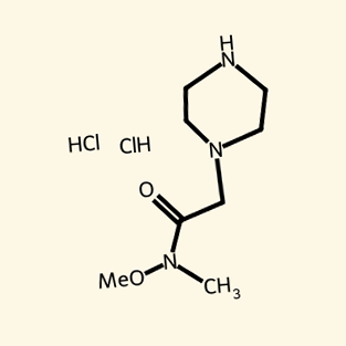 CON(C)C(=O)CN1CCNCC1.Cl.Cl